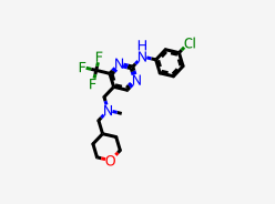 CN(Cc1cnc(Nc2cccc(Cl)c2)nc1C(F)(F)F)CC1CCOCC1